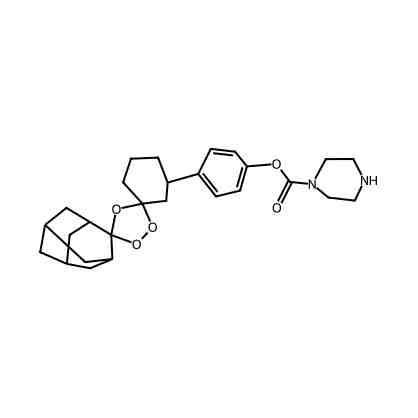 O=C(Oc1ccc(C2CCCC3(C2)OOC2(O3)C3CC4CC(C3)CC2C4)cc1)N1CCNCC1